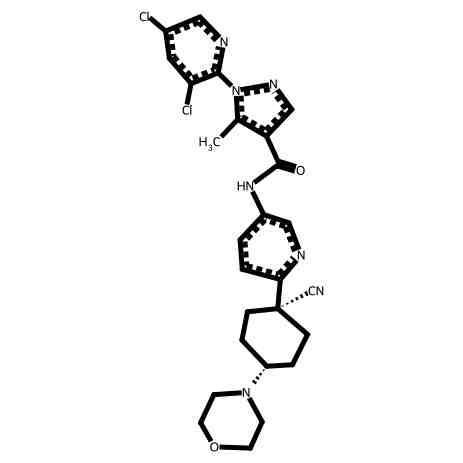 Cc1c(C(=O)Nc2ccc([C@]3(C#N)CC[C@@H](N4CCOCC4)CC3)nc2)cnn1-c1ncc(Cl)cc1Cl